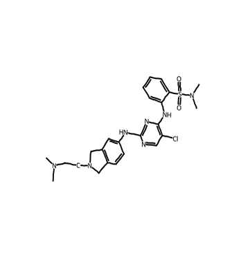 CN(C)CCN1Cc2ccc(Nc3ncc(Cl)c(Nc4ccccc4S(=O)(=O)N(C)C)n3)cc2C1